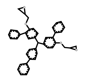 c1ccc(-c2ccc(C(c3ccc(OCC4CO4)c(-c4ccccc4)c3)c3ccc(OCC4CO4)c(-c4ccccc4)c3)cc2)cc1